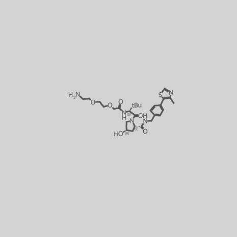 Cc1ncsc1-c1ccc(CNC(=O)[C@@H]2C[C@@H](O)CN2C(=O)[C@@H](NC(=O)COCCOCCN)C(C)(C)C)cc1